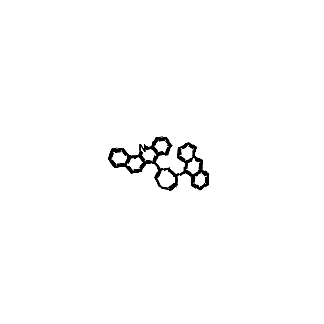 C1=CC(c2c3ccccc3cc3ccccc23)=CC(c2c3ccccc3nc3c2ccc2ccccc23)=CC1